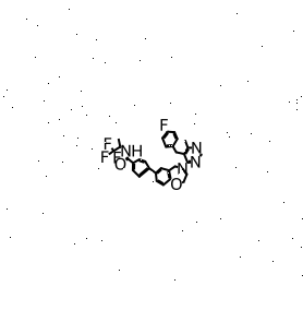 Cc1ncnc(N2CCOc3ccc(-c4ccc(C(=O)NC(C)C(F)(F)F)cc4)cc3C2)c1Cc1ccc(F)cc1